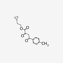 Cc1ccc(C(=O)CC(=O)C(=O)OCCC2CC2)cc1